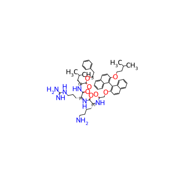 CC(C)CCOc1ccc2ccccc2c1-c1c(OCC(=O)N[C@H](CCCCN)C(=O)N[C@H](CCCNC(=N)N)C(=O)N[C@@H](CC(C)C)C(=O)OCCc2ccccc2)ccc2ccccc12